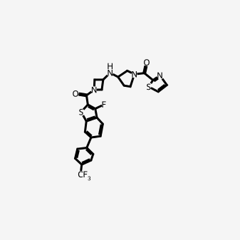 O=C(c1nccs1)N1CCC(NC2CN(C(=O)c3sc4cc(-c5ccc(C(F)(F)F)cc5)ccc4c3F)C2)C1